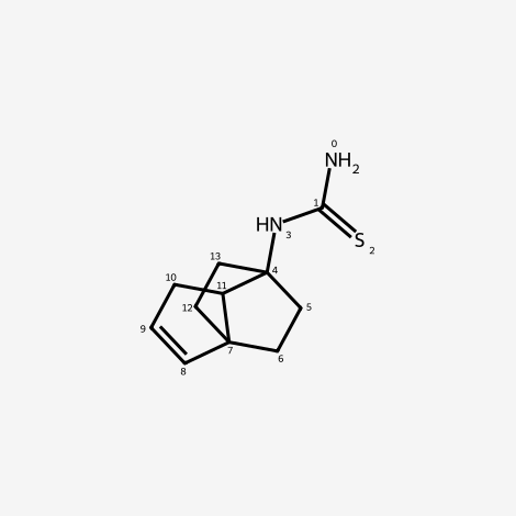 NC(=S)NC12CCC3(C=CCC31)CC2